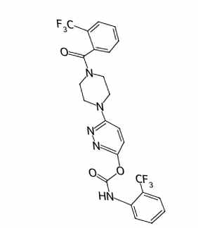 O=C(Nc1ccccc1C(F)(F)F)Oc1ccc(N2CCN(C(=O)c3ccccc3C(F)(F)F)CC2)nn1